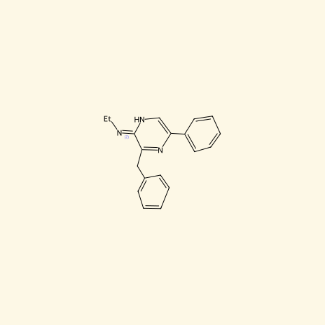 CC/N=c1\[nH]cc(-c2ccccc2)nc1Cc1ccccc1